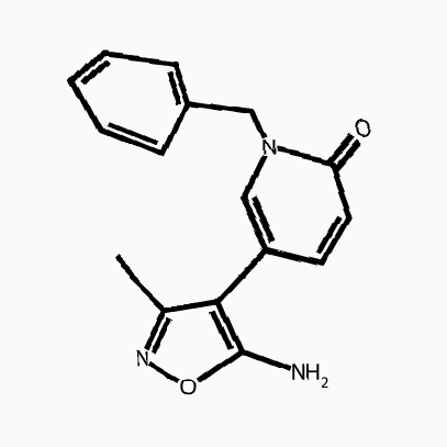 Cc1noc(N)c1-c1ccc(=O)n(Cc2ccccc2)c1